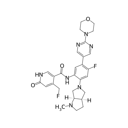 CN1CC[C@@H]2CN(c3cc(F)c(-c4cnc(N5CCOCC5)nc4)cc3NC(=O)c3c[nH]c(=O)cc3CF)C[C@@H]21